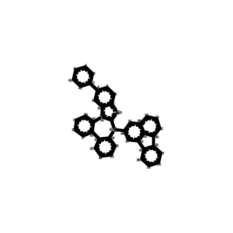 c1ccc(-c2ccc3nc4n(c3c2)-c2ccccc2-c2ccccc2N4c2cc3c4c(cccc4c2)-c2ccccc2-3)cc1